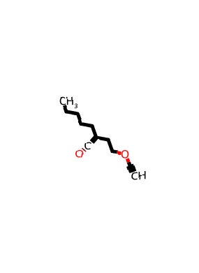 C#COCCC(=C=O)CCCCC